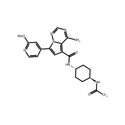 COc1cc(-c2cc(C(=O)N[C@H]3CC[C@H](NC(=O)C(F)(F)F)CC3)c3c(N)ncnn23)ccn1